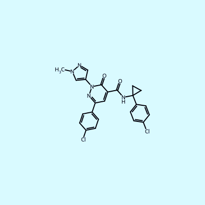 Cn1cc(-n2nc(-c3ccc(Cl)cc3)cc(C(=O)NC3(c4ccc(Cl)cc4)CC3)c2=O)cn1